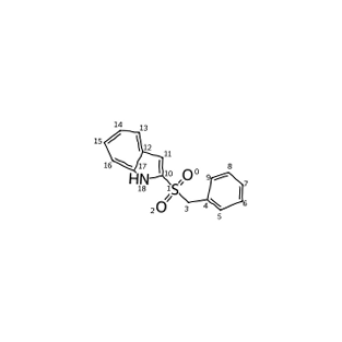 O=S(=O)(Cc1ccccc1)c1cc2ccccc2[nH]1